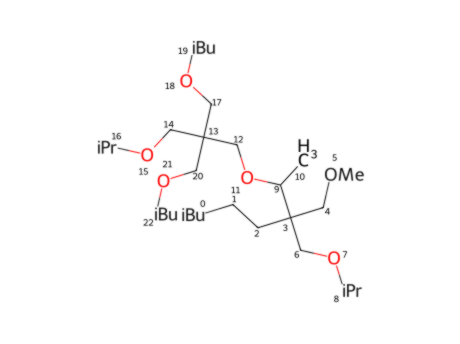 CCC(C)CCC(COC)(COC(C)C)C(C)OCC(COC(C)C)(COC(C)CC)COC(C)CC